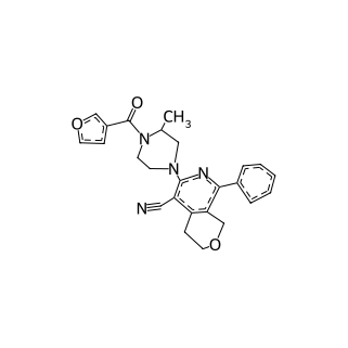 CC1CN(c2nc(-c3ccccc3)c3c(c2C#N)CCOC3)CCN1C(=O)c1ccoc1